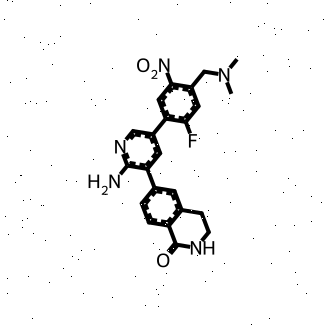 CN(C)Cc1cc(F)c(-c2cnc(N)c(-c3ccc4c(c3)CCNC4=O)c2)cc1[N+](=O)[O-]